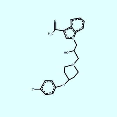 CC(=O)c1cn(CC(O)CN2CCC(Oc3ccc(Cl)cc3)CC2)c2ccccc12